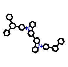 C1=CC(C2CC(C3=CCC(N4C5C=CC(C6=CCC7C(C6)C6CCC=CC6N7C6C=CC(C7=CCCC(C8CC=CCC8)=C7)=CC6)=CC5C5CCCCC54)CC3)CC(C3CCCCC3)C2)=CCC1